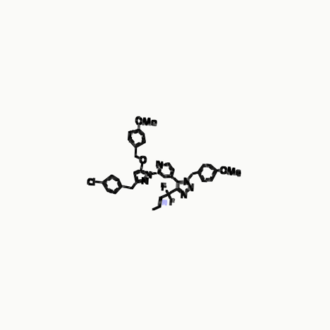 C/C=C/C(F)(F)c1nnn(Cc2ccc(OC)cc2)c1-c1ccnc(-n2nc(Cc3ccc(Cl)cc3)cc2OCc2ccc(OC)cc2)c1